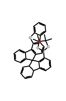 CC1(C)OB(c2cccc3c2C2(c4ccccc4-c4c2ccc2c4oc4ccccc42)C2C=CC=CC32)OC1(C)C